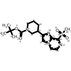 CC(C)(C)OC(=O)N1CCCC(c2cn3ccnc(S(C)(=O)=O)c3n2)C1